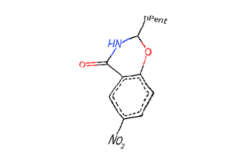 CCCCCC1NC(=O)c2cc([N+](=O)[O-])ccc2O1